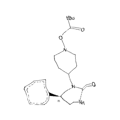 CC(C)(C)C(=O)ON1CCC(N2C(=O)NC[C@H]2c2ccccc2)CC1